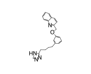 c1cc(CCCCc2nnc[nH]2)cc(OCc2ccc3ccccc3n2)c1